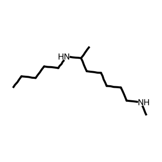 CCCCCNC(C)CCCCCNC